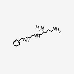 NCCCC(N)CCNCCCNCc1ccccc1